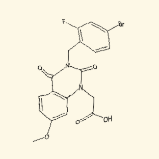 COc1ccc2c(=O)n(Cc3ccc(Br)cc3F)c(=O)n(CC(=O)O)c2c1